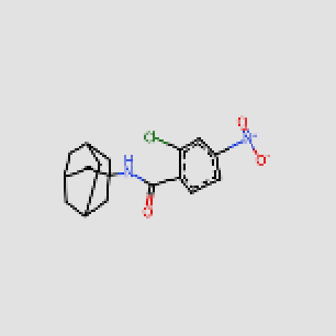 O=C(NC12CC3CC(CC(C3)C1)C2)c1ccc([N+](=O)[O-])cc1Cl